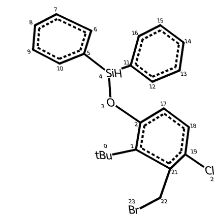 CC(C)(C)c1c(O[SiH](c2ccccc2)c2ccccc2)ccc(Cl)c1CBr